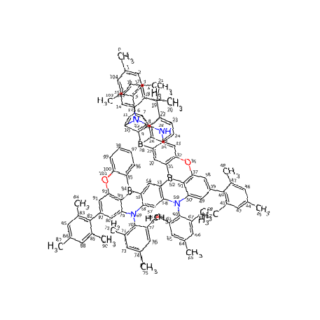 Cc1cc(C)c(-c2cc3c4c(c2)N2c5ccccc5C(C)(C)c5cccc(c52)B4c2cc4c(cc2N3)Oc2cc(-c3c(C)cc(C)cc3C)cc3c2B4c2cc4c(cc2N3c2c(C)cc(C)cc2C)N(c2c(C)cc(C)cc2C)c2cc(-c3c(C)cc(C)cc3C)cc3c2B4c2ccccc2O3)c(C)c1